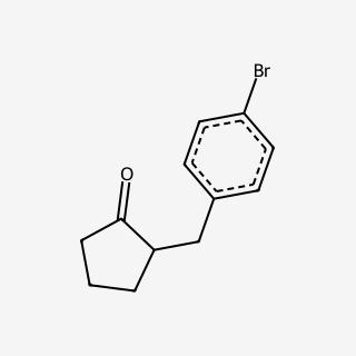 O=C1CCCC1Cc1ccc(Br)cc1